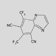 N#Cc1c(C(F)(F)F)c(C#N)c2nccnc2c1C(F)(F)F